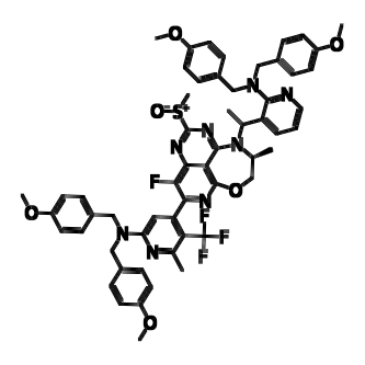 COc1ccc(CN(Cc2ccc(OC)cc2)c2cc(-c3nc4c5c(nc([S+](C)[O-])nc5c3F)N(C(C)c3cccnc3N(Cc3ccc(OC)cc3)Cc3ccc(OC)cc3)[C@@H](C)CO4)c(C(F)(F)F)c(C)n2)cc1